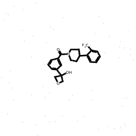 O=C(c1cccc(C2(O)COC2)c1)N1CCC(c2ccccc2C(F)(F)F)CC1